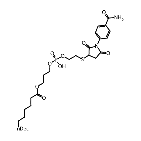 CCCCCCCCCCCCCCCC(=O)OCCCOP(=O)(O)OCCSC1CC(=O)N(c2ccc(C(N)=O)cc2)C1=O